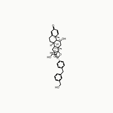 C[C@]12C=CC(=O)C=C1CC[C@@H]1C2[C@@H](O)C[C@@]2(C)[C@H]1C[C@H]1O[C@@H](c3ccc(Cc4cccc(CO)c4)cc3)O[C@]12C(=O)CO